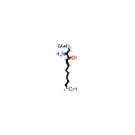 CCCCCCCCCCCCCC=CC(O)C(N)COC